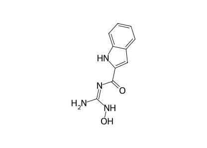 NC(=NC(=O)c1cc2ccccc2[nH]1)NO